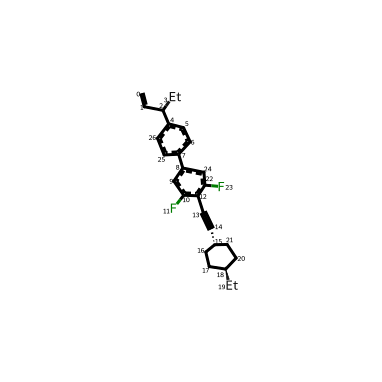 C=CC(CC)c1ccc(-c2cc(F)c(C#C[C@H]3CC[C@H](CC)CC3)c(F)c2)cc1